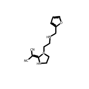 N#CC(C#N)=C1NCCN1CCNCc1ccco1